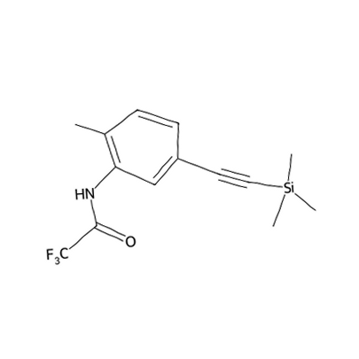 Cc1ccc(C#C[Si](C)(C)C)cc1NC(=O)C(F)(F)F